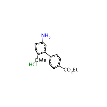 CCOC(=O)c1ccc(-c2cc(N)ccc2OC)cc1.Cl